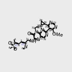 C=N/C(=C\C=C(/C)S(C)(=O)=O)CNc1nc2cnc(-c3c(OC)ncnc3C3CC3)nc2n(CC(C)C)c1=O